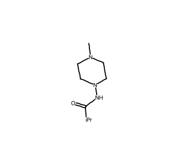 CC(C)C(=O)NN1CCN(C)CC1